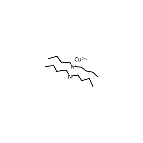 CCCC[N-]CCCC.CCCC[N-]CCCC.[Cu+2]